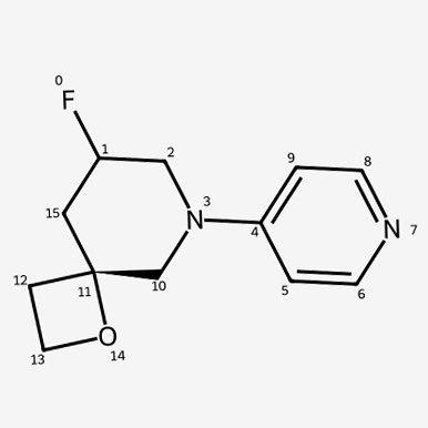 FC1CN(c2ccncc2)C[C@@]2(CCO2)C1